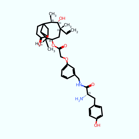 C=C[C@]1(C)C[C@@H](OC(=O)COc2cccc(CNC(=O)[C@@H](N)Cc3ccc(O)cc3)c2)[C@]2(C)C(C)CC34CC(CCC3=O)(C42)[C@@H](C)[C@@H]1O